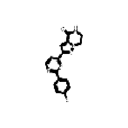 O=C1NCCn2nc(-c3ccnc(-c4ccc(Cl)cc4)n3)cc21